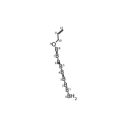 BB=BB=BB=BB=BOCC=C